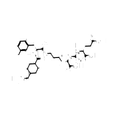 Cc1cccc(C[C@H](NC(=O)C2CCC(CN)CC2)C(=O)NCCCC[C@H](NC(=O)N[C@@H](CCC(=O)O)C(=O)O)C(=O)O)c1